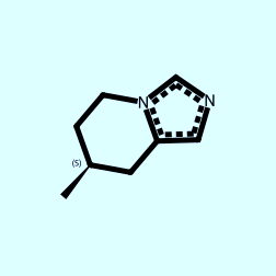 C[C@H]1CCn2cncc2C1